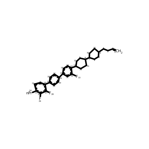 C=CCCC1CCC(C2CCC(c3ccc(-c4ccc(-c5ccc(CCC)c(F)c5F)cc4)cc3F)CC2)CC1